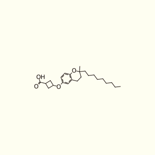 CCCCCCCCCC1(C)CCc2cc(OC3CC(C(=O)O)C3)ccc2O1